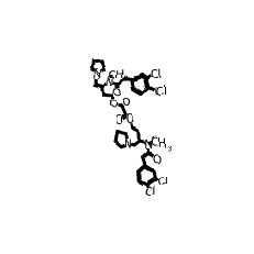 CN(C(=O)Cc1ccc(Cl)c(Cl)c1)C(CCOC(=O)C(=O)OCCC(CN1CCCC1)N(C)C(=O)Cc1ccc(Cl)c(Cl)c1)CN1CCCC1